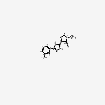 CN1CCC(c2nnc(-c3cccc(Br)n3)s2)C1=O